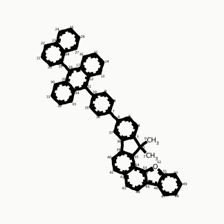 CC1(C)c2ccc(-c3ccc(-c4c5ccccc5c(-c5cccc6ccccc56)c5ccccc45)cc3)cc2-c2ccc3ccc4c5ccccc5oc4c3c21